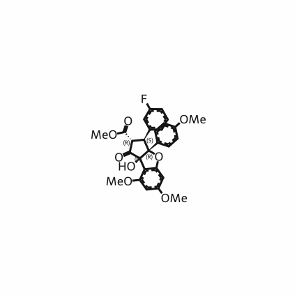 COC(=O)[C@H]1C(=O)[C@@]2(O)c3c(OC)cc(OC)cc3O[C@@]2(c2ccc(OC)cc2)[C@@H]1c1cccc(F)c1